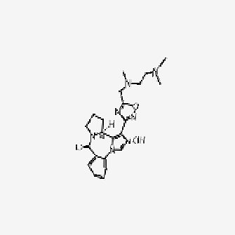 CN(C)CCN(C)Cc1nc(-c2ncn3c2[C@@H]2CCCN2C(=O)c2ccccc2-3)no1.Cl